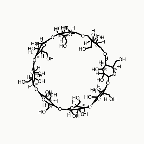 OC[C@H]1OC2O[C@@H]3[C@H](O)[C@@H](O)C(OC4[C@@H](CO)OC(O[C@@H]5[C@H](O)[C@@H](O)C(OC6[C@@H](CO)OC(O[C@@H]7[C@H](O)[C@@H](O)C(O[C@H]8[C@H](O)[C@H](O)C(O[C@@H]9[C@H](O)[C@@H](O)C(OC1[C@H](O)[C@@H]2O)O[C@@H]9CO)O[C@@H]8CO)O[C@@H]7CO)[C@@H](O)[C@H]6O)O[C@@H]5CO)[C@@H](O)[C@H]4O)O[C@@H]3CO